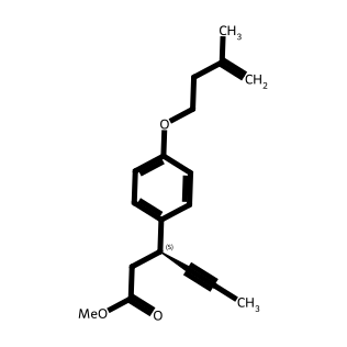 C=C(C)CCOc1ccc([C@@H](C#CC)CC(=O)OC)cc1